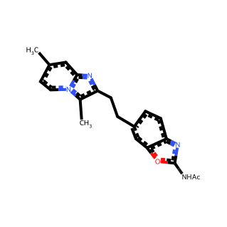 CC(=O)Nc1nc2ccc(CCc3nc4cc(C)ccn4c3C)cc2o1